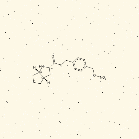 O=C(OCc1ccc(CO[N+](=O)[O-])cc1)[C@@H]1C[C@@H]2CCC[C@@H]2N1